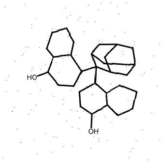 OC1CCC(C2(C3CCC(O)C4CCCCC43)C3CC4CC(C3)CC2C4)C2CCCCC12